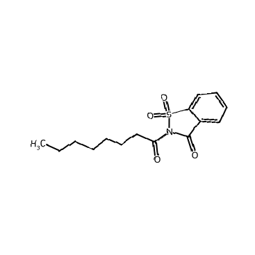 CCCCCCCC(=O)N1C(=O)c2ccccc2S1(=O)=O